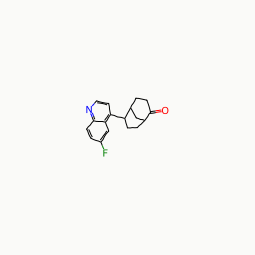 O=C1CCC2CC1CCC2c1ccnc2ccc(F)cc12